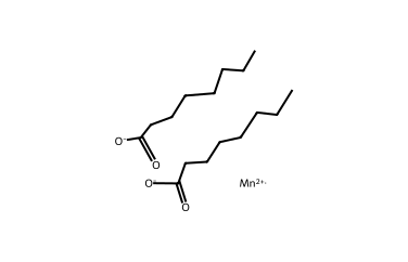 CCCCCCCC(=O)[O-].CCCCCCCC(=O)[O-].[Mn+2]